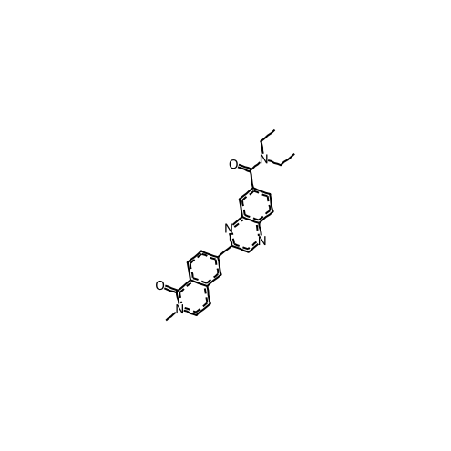 CCN(CC)C(=O)c1ccc2ncc(-c3ccc4c(=O)n(C)ccc4c3)nc2c1